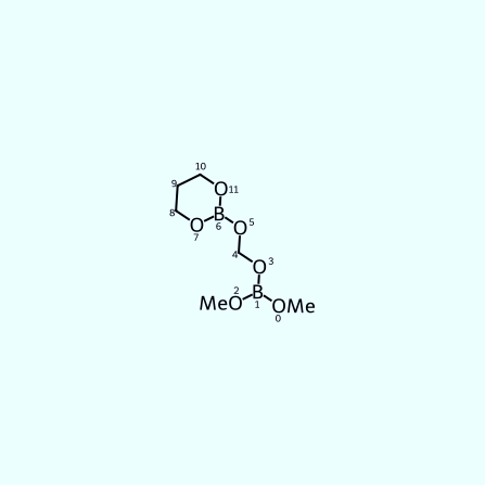 COB(OC)OCOB1OCCCO1